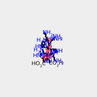 N=C(N)NCCC[C@H](NC(=O)[C@H](CCC(=O)O)NC(=O)[C@@H](CCCCN)NC(=O)[C@@H](CCCCN)NC(=O)[C@H](Cc1c[nH]cn1)NC(=O)[C@H](Cc1c[nH]c2ccccc12)NC(=O)[C@@H](CCCNC(=N)N)NC(=O)[C@@H](N)CCCCN)C(=O)O